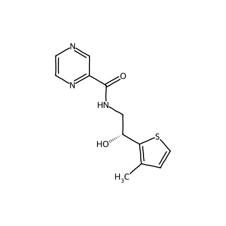 Cc1ccsc1[C@H](O)CNC(=O)c1cnccn1